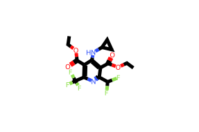 CCOC(=O)c1c(C(F)F)nc(C(F)(F)F)c(C(=O)OCC)c1NC1CC1